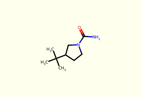 CC(C)(C)C1CCN(C(N)=O)C1